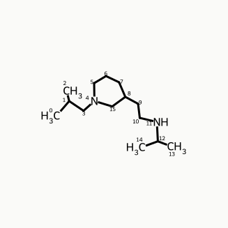 CC(C)CN1CCCC(CCNC(C)C)C1